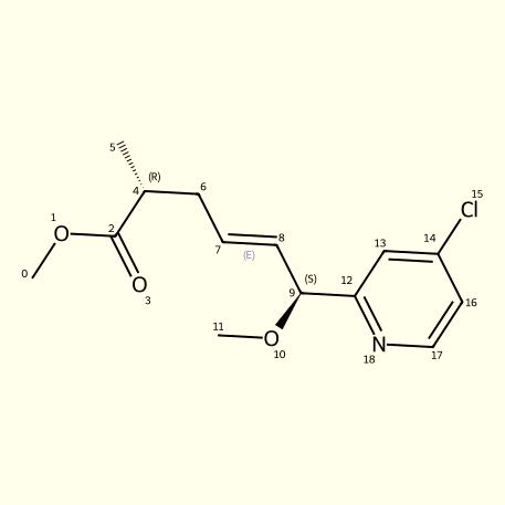 COC(=O)[C@H](C)C/C=C/[C@H](OC)c1cc(Cl)ccn1